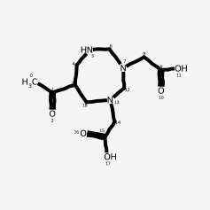 CC(=O)C1CNCN(CC(=O)O)CN(CC(=O)O)C1